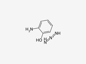 N=[N+]=N.Nc1ccccc1O